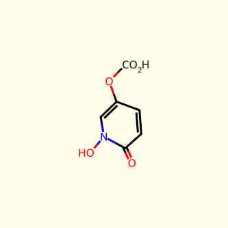 O=C(O)Oc1ccc(=O)n(O)c1